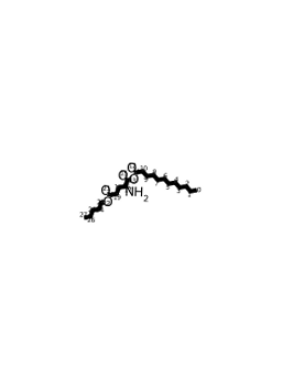 CCCCCCCCCCCC(=O)OC(=O)[C@@H](N)CCC(=O)OCCCCC